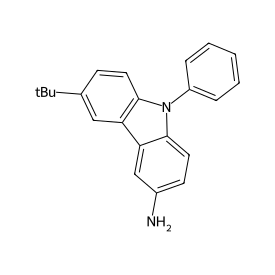 CC(C)(C)c1ccc2c(c1)c1cc(N)ccc1n2-c1ccccc1